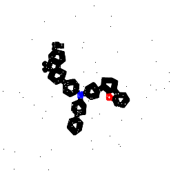 CC(C)(C)c1ccc2c(c1)C(C)(C)c1ccc(-c3ccc(N(c4ccc(-c5ccccc5)cc4)c4ccc(-c5cccc6c5oc5ccccc56)cc4)cc3)cc1-2